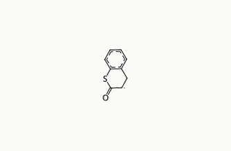 O=C1[CH]Cc2ccccc2S1